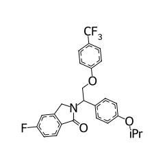 CC(C)Oc1ccc(C(COc2ccc(C(F)(F)F)cc2)N2Cc3cc(F)ccc3C2=O)cc1